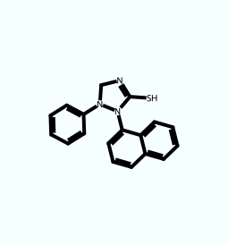 SC1=NCN(c2ccccc2)N1c1cccc2ccccc12